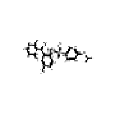 CC1=C(C(=O)c2cc(Cl)ccc2NS(=O)(=O)c2ccc(OC(C)C)cc2)C(=O)CC=N1